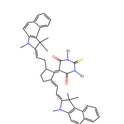 CCN1C(=O)C(=C2/C(=C/C=C3/N(C)c4ccc5ccccc5c4C3(C)C)CCC2C/C=C2/N(C)c3ccc4ccccc4c3C2(C)C)C(=O)N(CC)C1=S